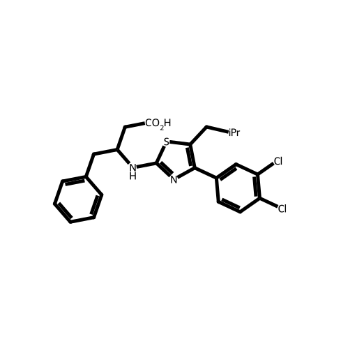 CC(C)Cc1sc(NC(CC(=O)O)Cc2ccccc2)nc1-c1ccc(Cl)c(Cl)c1